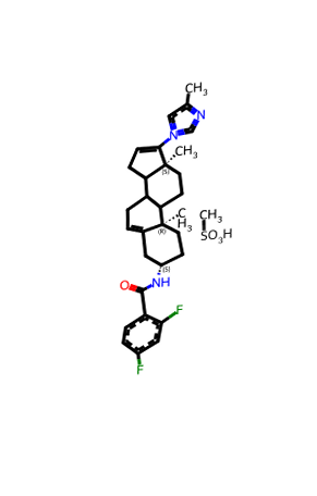 CS(=O)(=O)O.Cc1cn(C2=CCC3C4CC=C5C[C@@H](NC(=O)c6ccc(F)cc6F)CC[C@]5(C)C4CC[C@]23C)cn1